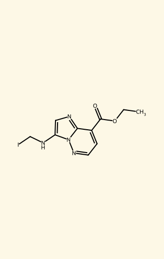 CCOC(=O)c1ccnn2c(NCI)cnc12